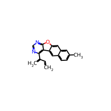 C=CC(=C)c1ncnc2oc3cc4cc(C)ccc4cc3c12